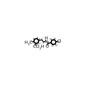 Cc1ccc(CCNC(=O)c2ccc(Cl)cc2)cc1C(=O)O